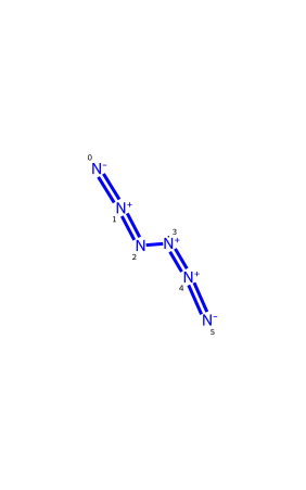 [N-]=[N+]=N[N+]=[N+]=[N-]